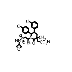 CCC(CS(=O)(=O)NC1COC1)N1C(=O)C(C)(CC(=O)O)CC(c2cccc(Cl)c2)C1c1ccc(Cl)cc1